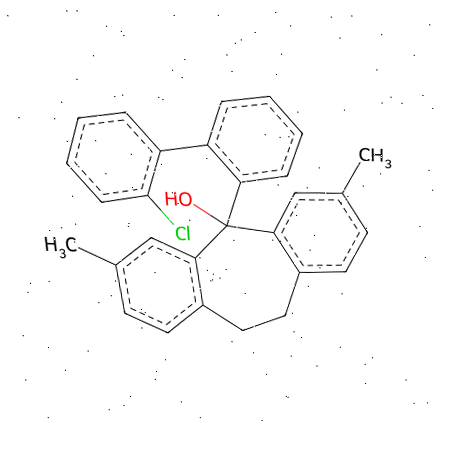 Cc1ccc2c(c1)C(O)(c1ccccc1-c1ccccc1Cl)c1cc(C)ccc1CC2